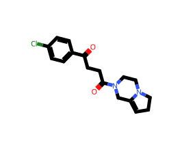 O=C(CCC(=O)N1CCN2CCC=C2C1)c1ccc(Cl)cc1